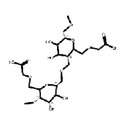 CC[C@@H]1C(COCC(=O)O)O[C@@H](COC[C@@H]2C(COCC(=O)O)O[C@@H](COC)C(O)C2O)C(O)[C@@H]1O